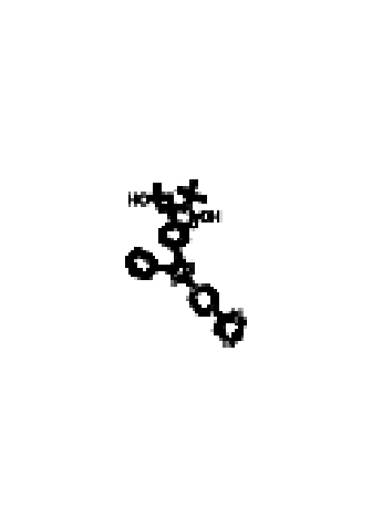 CC1(O)CC(c2ccc(-c3nc(N4CCN(c5cnccn5)CC4)sc3-c3ccccc3)cc2)(N(C(=O)O)C(C)(C)C)C1